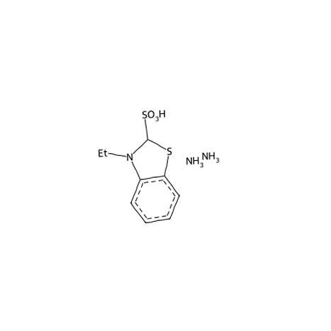 CCN1c2ccccc2SC1S(=O)(=O)O.N.N